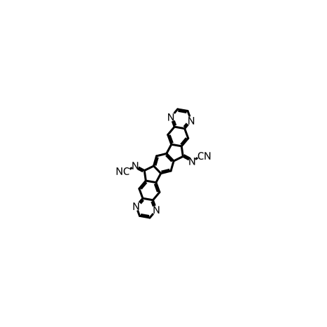 N#C/N=c1\c2cc3nccnc3cc2c2cc3/c(=N/C#N)c4cc5nccnc5cc4c3cc12